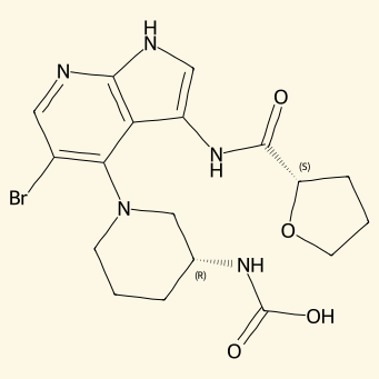 O=C(O)N[C@@H]1CCCN(c2c(Br)cnc3[nH]cc(NC(=O)[C@@H]4CCCO4)c23)C1